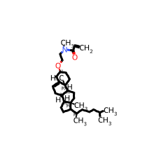 C=CC(=O)N(C)CCO[C@H]1CC[C@@]2(C)C(=CC[C@@H]3[C@@H]2CC[C@]2(C)C([C@H](C)CCCC(C)C)CC[C@@H]32)C1